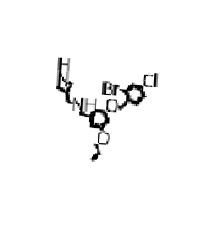 C=CCOc1cc(CNCC2CNC2)cc(OCc2ccc(Cl)cc2Br)c1